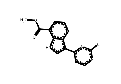 COC(=O)c1cccc2c(-c3ccnc(Cl)n3)c[nH]c12